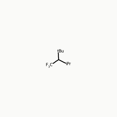 CC(C)C(C(C)(C)C)C(F)(F)F